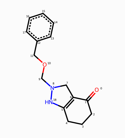 O=C1CCCC2=C1CN(COCc1ccccc1)N2